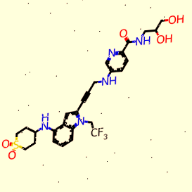 O=C(NCC(O)CO)c1ccc(NCC#Cc2cc3c(NC4CCS(=O)(=O)CC4)cccc3n2CC(F)(F)F)cn1